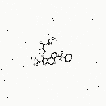 CC(O)c1nc2cnc3c(ccn3S(=O)(=O)c3ccccc3)c2n1[C@@H]1CCN(C(=O)NCC(F)(F)F)C1